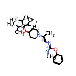 C=N/C(=N\C=C(/C)N1CCC(O[Si](C(C)C)(C(C)C)C(C)C)CC1)Oc1ccccc1